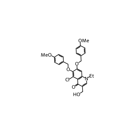 CCn1cc(CO)c(=O)c2c(Cl)c(OCc3ccc(OC)cc3)c(OCc3ccc(OC)cc3)cc21